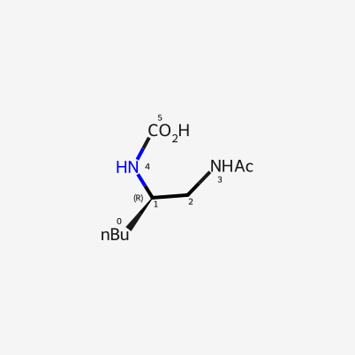 CCCC[C@H](CNC(C)=O)NC(=O)O